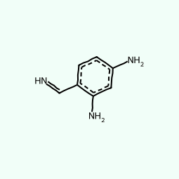 N=Cc1ccc(N)cc1N